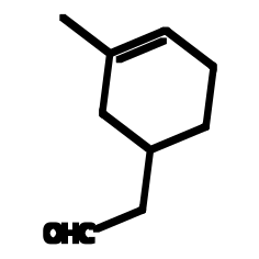 CC1=CCCC(CC=O)C1